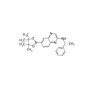 C[C@@H](Nc1cnc2cc(B3OC(C)(C)C(C)(C)O3)ccc2n1)c1ccccc1